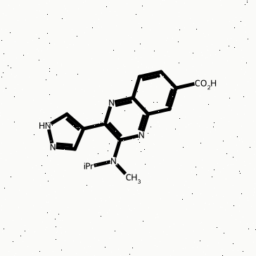 CC(C)N(C)c1nc2cc(C(=O)O)ccc2nc1-c1cn[nH]c1